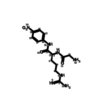 N=C(N)NCCC[C@H](NC(=O)CN)C(=O)Nc1ccc([N+](=O)[O-])cc1